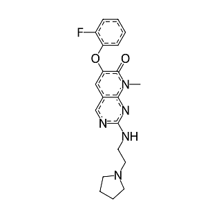 Cn1c(=O)c(Oc2ccccc2F)cc2cnc(NCCN3CCCC3)nc21